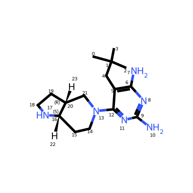 CC(C)(C)Cc1c(N)nc(N)nc1N1CC[C@@H]2NCC[C@@H]2C1